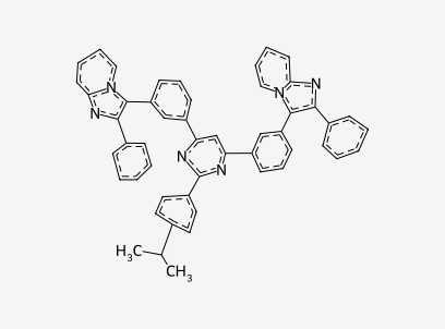 CC(C)c1ccc(-c2nc(-c3cccc(-c4c(-c5ccccc5)nc5ccccn45)c3)cc(-c3cccc(-c4c(-c5ccccc5)nc5ccccn45)c3)n2)cc1